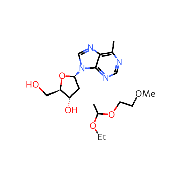 CCOC(C)OCCOC.Cc1ncnc2c1ncn2[C@H]1C[C@H](O)[C@@H](CO)O1